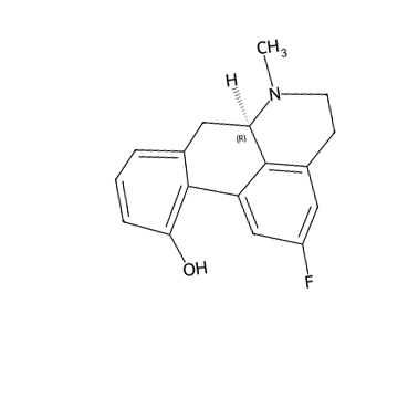 CN1CCc2cc(F)cc3c2[C@H]1Cc1cccc(O)c1-3